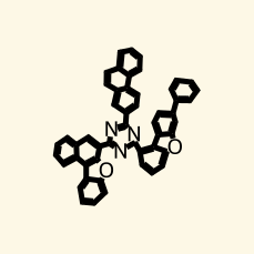 c1ccc(-c2ccc3c(c2)oc2cccc(-c4nc(-c5ccc6c(ccc7ccccc76)c5)nc(-c5cc6ccccc6c6c5oc5ccccc56)n4)c23)cc1